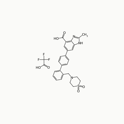 Cc1nc2c(C(=O)O)cc(-c3ccc(-c4ccccc4CN4CCS(=O)(=O)CC4)cc3)cc2[nH]1.O=C(O)C(F)(F)F